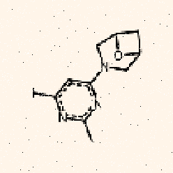 Cc1nc(I)cc(N2CC3CC(C2)O3)n1